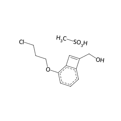 CS(=O)(=O)O.OCC1=Cc2c(OCCCCl)cccc21